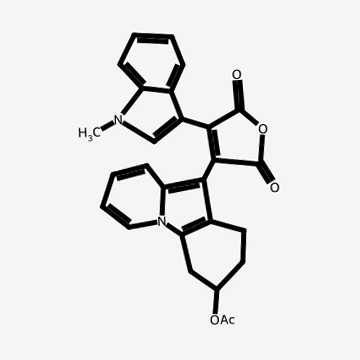 CC(=O)OC1CCc2c(C3=C(c4cn(C)c5ccccc45)C(=O)OC3=O)c3ccccn3c2C1